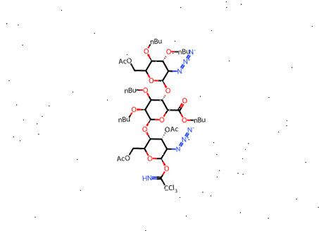 CCCCOC(=O)C1O[C@@H](O[C@@H]2C(COC(C)=O)O[C@H](OC(=N)C(Cl)(Cl)Cl)C(N=[N+]=[N-])[C@H]2OC(C)=O)[C@@H](OCCCC)C(OCCCC)[C@@H]1O[C@H]1OC(COC(C)=O)[C@@H](OCCCC)[C@H](OCCCC)C1N=[N+]=[N-]